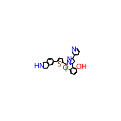 O=C(c1ccc(-c2ccc3c(c2)CCNC3)s1)N1N=C(c2cccnc2)CC1c1c(O)cccc1F